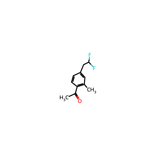 CC(=O)c1ccc(CC(F)F)cc1C